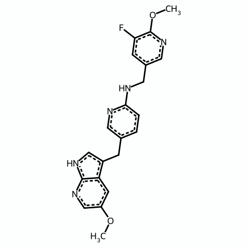 COc1cnc2[nH]cc(Cc3ccc(NCc4cnc(OC)c(F)c4)nc3)c2c1